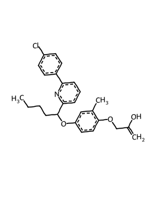 C=C(O)COc1ccc(OC(CCCC)c2cccc(-c3ccc(Cl)cc3)n2)cc1C